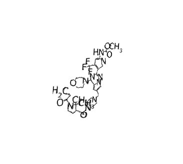 C=CC(=O)N1CCC(C(=O)N2CCN(Cc3cc4c(N5CCOCC5)nc(-c5cnc(NC(=O)OC)cc5C(F)(F)F)nn4c3)CC2)C1(C)C